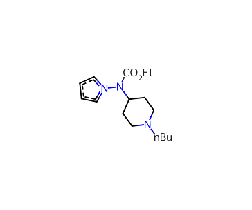 CCCCN1CCC(N(C(=O)OCC)n2cccc2)CC1